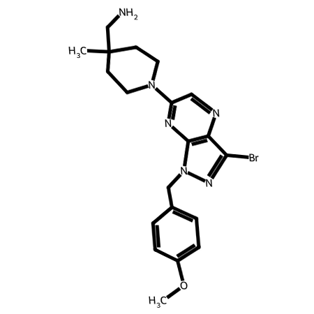 COc1ccc(Cn2nc(Br)c3ncc(N4CCC(C)(CN)CC4)nc32)cc1